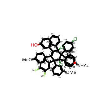 COc1ccc(C2=C(c3cccc(O)c3)C(Cl)(c3ccccc3)C(c3ccc(Cl)cc3)(c3ccc(NC(C)=O)cc3)C(Cl)(c3ccccc3OC)C2(c2cccc(OC)c2)c2ccc(F)c(F)c2)cc1